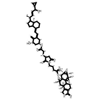 C=C1/C(=C\C=C2/CCC[C@@]3(C)C2CCC3[C@@H](C)/C=C/C(O)C2CC2)C[C@@H](OC(=O)CSC2CC(=O)N(CCCC(=O)O[C@@H]3[C@@]4(C(C)C)O[C@H]4[C@@H]4OC45[C@]34O[C@H]4C[C@H]3C4=C(CC[C@@]35C)C(=O)OC4)C2=O)C[C@@H]1O